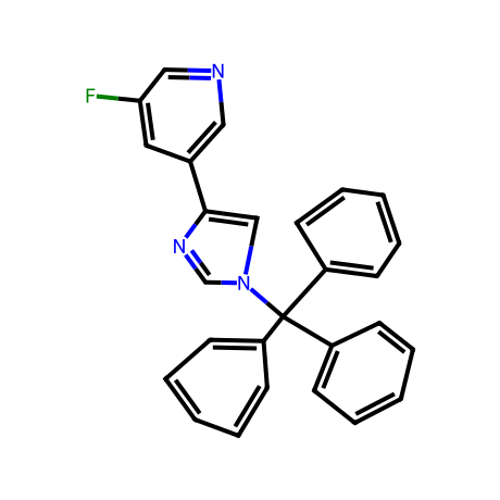 Fc1cncc(-c2cn(C(c3ccccc3)(c3ccccc3)c3ccccc3)cn2)c1